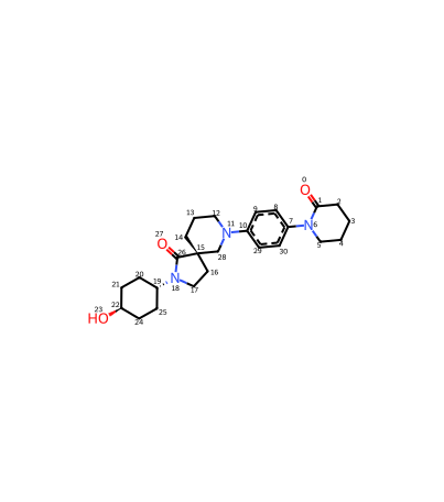 O=C1CCCCN1c1ccc(N2CCC[C@]3(CCN([C@H]4CC[C@H](O)CC4)C3=O)C2)cc1